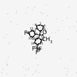 CC(=O)C(c1ccccc1)(c1ccc(F)cc1)c1ccc(C(F)(F)F)cc1